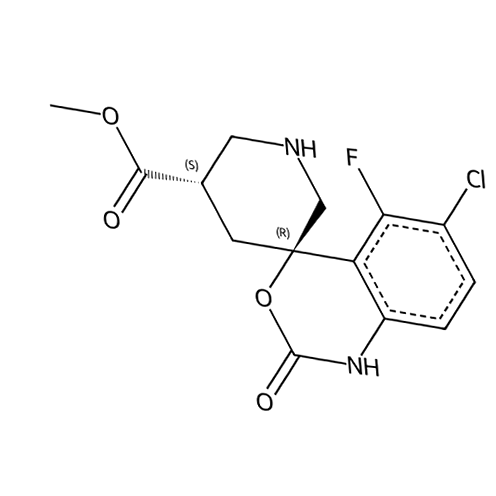 COC(=O)[C@@H]1CNC[C@]2(C1)OC(=O)Nc1ccc(Cl)c(F)c12